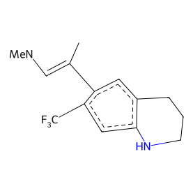 CN/C=C(\C)c1cc2c(cc1C(F)(F)F)NCCC2